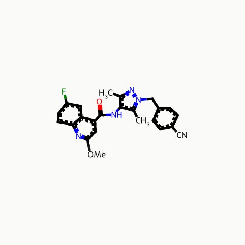 COc1cc(C(=O)Nc2c(C)nn(Cc3ccc(C#N)cc3)c2C)c2cc(F)ccc2n1